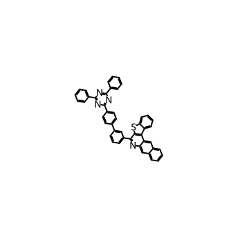 c1ccc(-c2nc(-c3ccccc3)nc(-c3ccc(-c4cccc(-c5nc6cc7ccccc7cc6c6c5sc5ccccc56)c4)cc3)n2)cc1